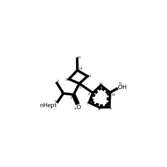 CCCCCCCC(C)C(=O)C1(c2cccc(O)c2)CC(C)C1